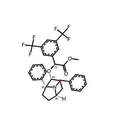 COC(=O)[C@@H](O[C@@H]1CC[C@H]2CC[C@]1(c1ccccc1)N2Cc1ccccc1)c1cc(C(F)(F)F)cc(C(F)(F)F)c1